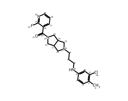 Cc1ccc(NCCCN2CC3CN(C(=O)c4cccnc4F)CC3C2)cc1Cl